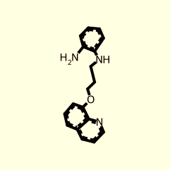 Nc1ccccc1NCCCOc1cccc2cccnc12